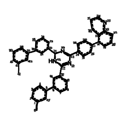 Cc1cccc(-c2cccc(C3=NC(c4ccc(-c5cccc6ncccc56)cc4)=NC(c4cccc(-c5cccc(C)c5)c4)N3)c2)c1